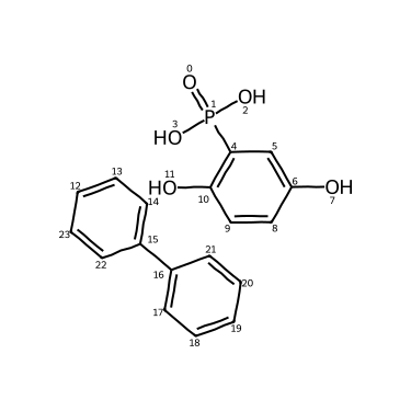 O=P(O)(O)c1cc(O)ccc1O.c1ccc(-c2ccccc2)cc1